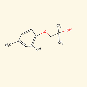 Cc1ccc(OCC(O)(C(F)(F)F)C(F)(F)F)c(C#N)c1